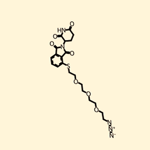 [N-]=[N+]=NCCOCCOCCOCCSc1cccc2c1C(=O)N(C1CCC(=O)NC1=O)C2=O